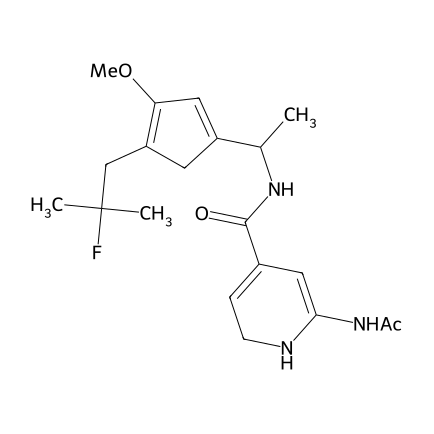 COC1=C(CC(C)(C)F)CC(C(C)NC(=O)C2=CCNC(NC(C)=O)=C2)=C1